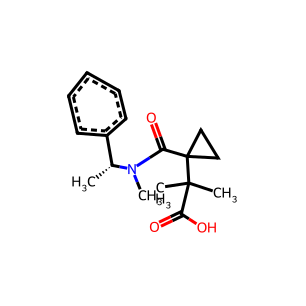 C[C@H](c1ccccc1)N(C)C(=O)C1(C(C)(C)C(=O)O)CC1